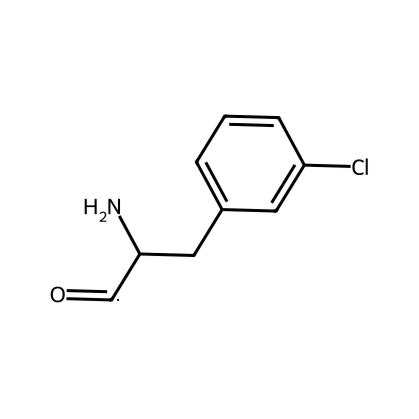 NC([C]=O)Cc1cccc(Cl)c1